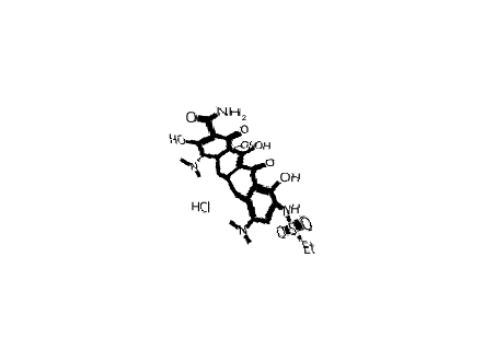 CCS(=O)(=O)Nc1cc(N(C)C)c2c(c1O)C(=O)C1=C(O)[C@]3(O)C(=O)C(C(N)=O)=C(O)[C@@H](N(C)C)C3CC1C2.Cl